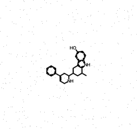 CC1CC(C2CC(c3ccccc3)=CCN2)Cc2c1[nH]c1ccc(O)cc21